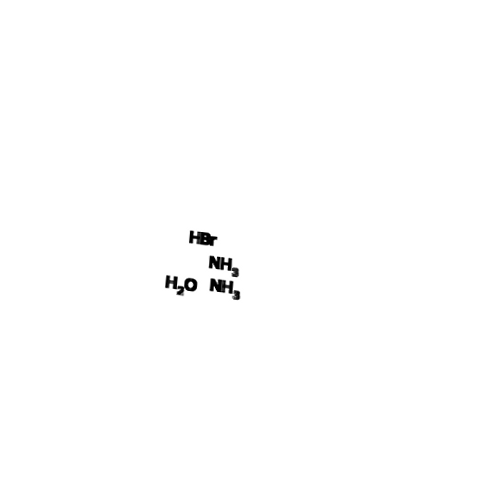 Br.N.N.O